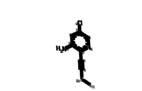 Nc1cc(Cl)cnc1C#CSI